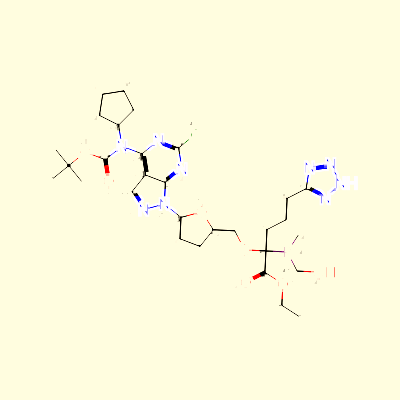 CCOC(=O)C(CCCc1nn[nH]n1)(OCC1CCC(n2ncc3c(N(C(=O)OC(C)(C)C)C4CCCC4)nc(Cl)nc32)O1)P(C)CO